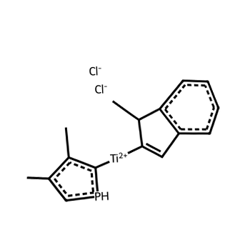 Cc1c[pH][c]([Ti+2][C]2=Cc3ccccc3C2C)c1C.[Cl-].[Cl-]